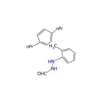 CCCc1ccc(CCC)cc1.Cc1ccccc1NNC=O